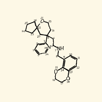 c1ccc(C2(CCNCc3cccc4c3OCCO4)CCOC3(CCCC3)C2)nc1